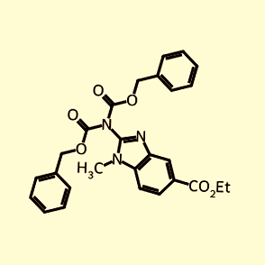 CCOC(=O)c1ccc2c(c1)nc(N(C(=O)OCc1ccccc1)C(=O)OCc1ccccc1)n2C